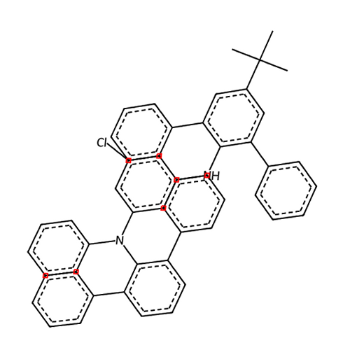 CC(C)(C)c1cc(-c2ccccc2)c(Nc2cc(Cl)cc(N(c3ccccc3)c3c(-c4ccccc4)cccc3-c3ccccc3)c2)c(-c2ccccc2)c1